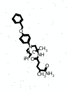 CC(C)CCN(CC(C)(C)NC(=O)[CH]CC(C)C(N)=O)c1ccc(OCc2ccccc2)cc1